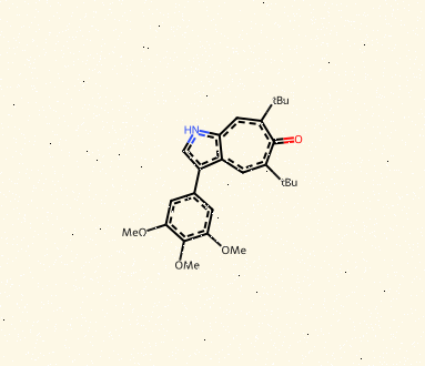 COc1cc(-c2c[nH]c3cc(C(C)(C)C)c(=O)c(C(C)(C)C)cc23)cc(OC)c1OC